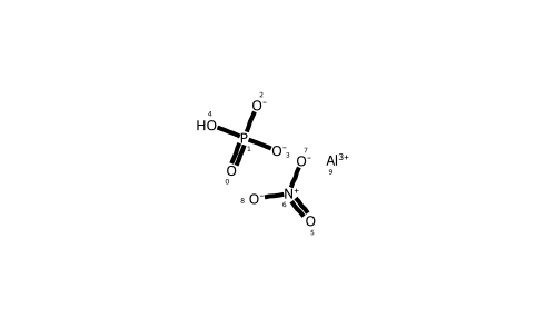 O=P([O-])([O-])O.O=[N+]([O-])[O-].[Al+3]